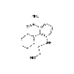 NC(=O)c1cccc(NCCO)c1N1CCCCC1